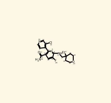 CCC1(CNc2nc(-c3c[c]ncc3Cl)c(C(N)=O)cc2F)CCOCC1